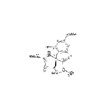 COc1ccc([C@@](CC(C)(C)C)(N[S@@+]([O-])C(C)(C)C)C(=O)OC(C)C)c(F)c1